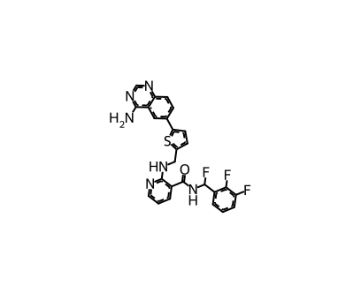 Nc1ncnc2ccc(-c3ccc(CNc4ncccc4C(=O)NC(F)c4cccc(F)c4F)s3)cc12